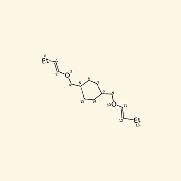 CCC=COCC1CCC(COC=CCC)CC1